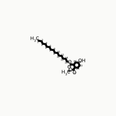 CCCCCCCCCCCCCCCCOC(=O)C1CC(O)CCC1C(=O)OC